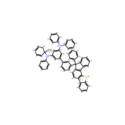 CC1(N(c2ccccc2)c2cc(-c3cccc(C4(c5ccccc5)c5ccccc5-c5c4ccc4c5sc5ccccc54)c3)cc(N(c3ccccc3)c3ccccc3)c2)C=CC=CC1